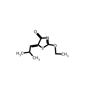 CCOC1=NC(=O)/C(=C/C(C)C)S1